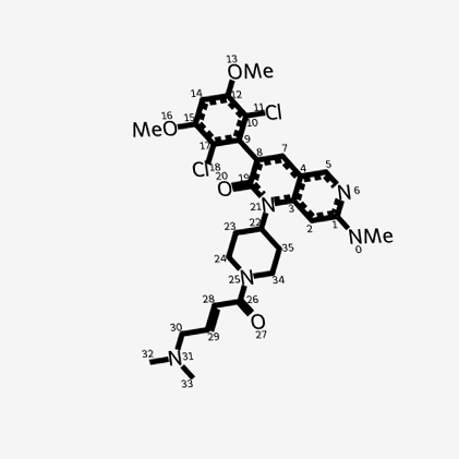 CNc1cc2c(cn1)cc(-c1c(Cl)c(OC)cc(OC)c1Cl)c(=O)n2C1CCN(C(=O)/C=C/CN(C)C)CC1